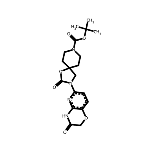 CC(C)(C)OC(=O)N1CCC2(CC1)CN(c1ccc3c(n1)NC(=O)CO3)C(=O)O2